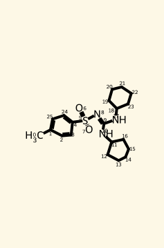 Cc1ccc(S(=O)(=O)N=C(NC2CCCCC2)NC2CCCCC2)cc1